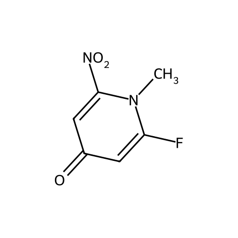 Cn1c(F)cc(=O)cc1[N+](=O)[O-]